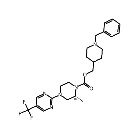 C[C@@H]1CN(c2ncc(C(F)(F)F)cn2)CCN1C(=O)OCC1CCN(Cc2ccccc2)CC1